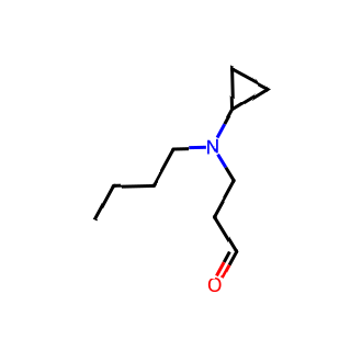 CCCCN(CCC=O)C1CC1